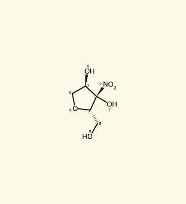 O=[N+]([O-])[C@]1(O)[C@H](O)CO[C@H]1CO